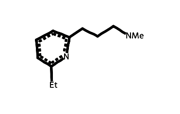 CCc1cccc(CCCNC)n1